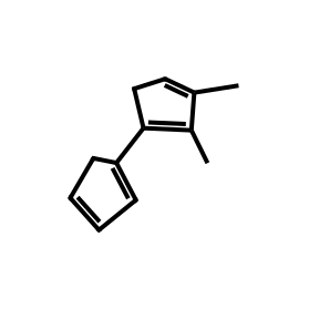 CC1=CCC(C2=CC=CC2)=C1C